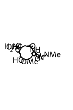 CNCCN(C)C(=O)Oc1cc2cc(c1)NC(=O)/C(C)=C/CC[C@H](C=O)[C@@H](OC(N)=O)/C(C)=C/[C@H](C)[C@@H](O)[C@@H](OC)C[C@H](C)C2